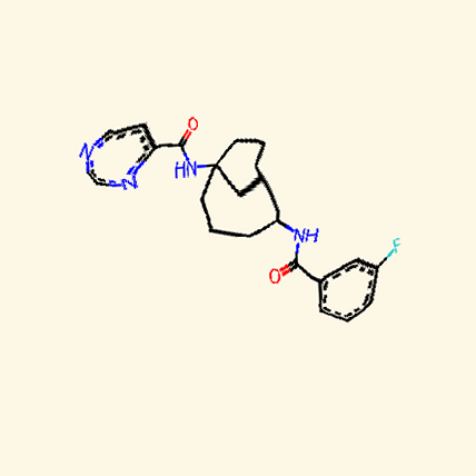 O=C(NC1CCCC2(NC(=O)c3ccncn3)CCC1C2)c1cccc(F)c1